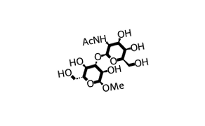 CO[C@H]1O[C@H](CO)[C@@H](O)[C@H](O[C@@H]2O[C@H](CO)[C@H](O)[C@H](O)[C@@H]2NC(C)=O)[C@H]1O